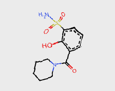 NS(=O)(=O)c1cc[c]c(C(=O)N2CCCCC2)c1O